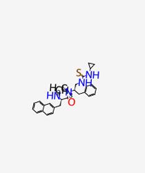 CN[C@H](Cc1ccc2ccccc2c1)C(=O)N(C)[C@@H](CNC(=S)NC1CC1)Cc1ccccc1